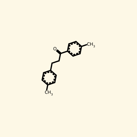 Cc1ccc(CCC(=O)c2ccc(C)cc2)cc1